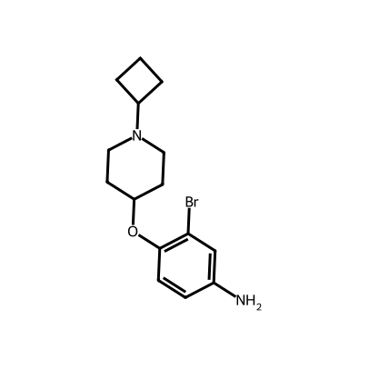 Nc1ccc(OC2CCN(C3CCC3)CC2)c(Br)c1